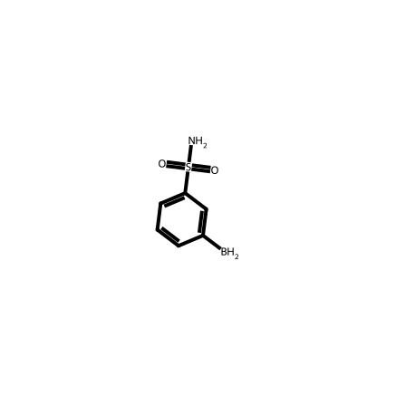 Bc1cccc(S(N)(=O)=O)c1